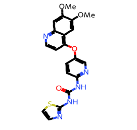 COc1cc2nccc(Oc3ccc(NC(=O)Nc4nccs4)nc3)c2cc1OC